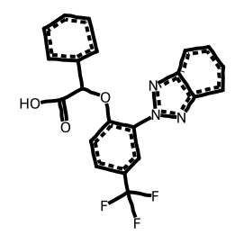 O=C(O)C(Oc1ccc(C(F)(F)F)cc1-n1nc2ccccc2n1)c1ccccc1